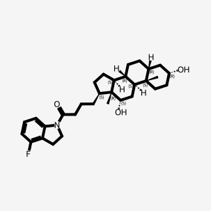 C[C@]12CC[C@@H](O)C[C@H]1CC[C@@H]1[C@@H]2C[C@H](O)[C@]2(C)[C@@H](CCCC(=O)N3CCc4c(F)cccc43)CC[C@@H]12